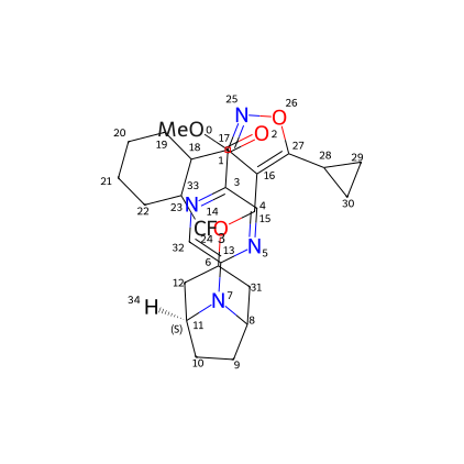 COC(=O)c1cnc(N2C3CC[C@H]2CC(OCc2c(C4CCCCC4C(F)(F)F)noc2C2CC2)C3)cn1